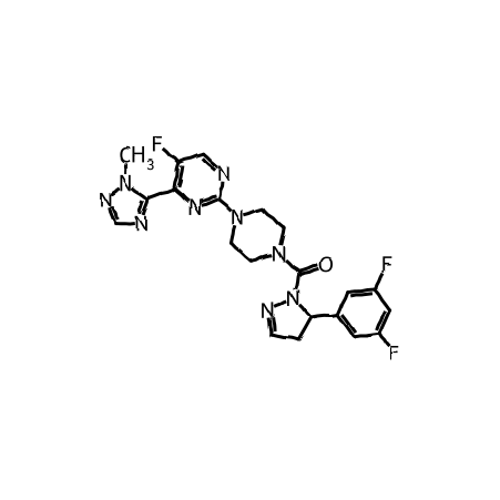 Cn1ncnc1-c1nc(N2CCN(C(=O)N3N=CCC3c3cc(F)cc(F)c3)CC2)ncc1F